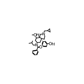 COC1C[C@H](N(CC(C)C)C(=O)c2ccccc2)C[C@]2(c3cccc(O)c3)CCN(CC3CC3)C[C@@H]12